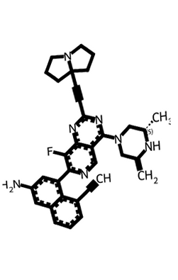 C#Cc1cccc2cc(N)cc(-c3ncc4c(N5CC(=C)N[C@@H](C)C5)nc(C#CC56CCCN5CCC6)nc4c3F)c12